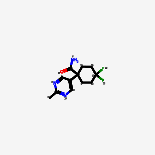 Cc1ncc(C2(C(N)=O)CCC(F)(F)CC2)cn1